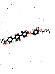 CCOc1ccc(COc2ccc(-c3ccc(C4CCC(C(C)O)CC4)c(F)c3F)cc2)cc1F